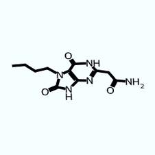 CCCCn1c(=O)[nH]c2nc(CC(N)=O)[nH]c(=O)c21